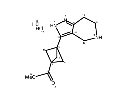 COC(=O)C12CC(c3[nH]nc4c3CNCC4)(C1)C2.Cl.Cl